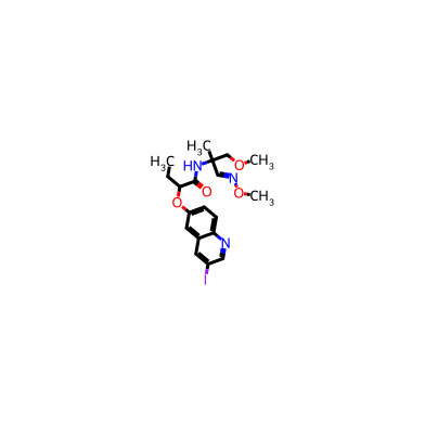 CCC(Oc1ccc2ncc(I)cc2c1)C(=O)NC(C)(C=NOC)COC